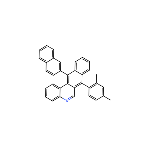 Cc1ccc(-c2c3ccccc3c(-c3ccc4ccccc4c3)c3c2cnc2ccccc23)c(C)c1